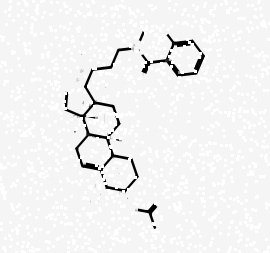 CC(=O)O[C@H]1CC[C@@]2(C)C(=CC[C@H]3[C@@H]4CC[C@H]([C@H](C)CCN(C)C(=O)c5ccccc5F)[C@@]4(C)CC[C@@H]32)[C@H]1O